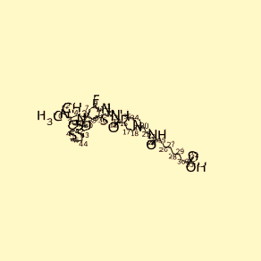 CN(C)CCN(c1cc(F)c2nc(NC(=O)C3CCN(CCNC(=O)CCCCCCC(=O)O)CC3)sc2c1)S(=O)(=O)c1cccs1